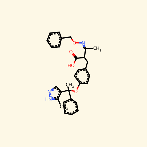 CC(=NOCc1ccccc1)C(Cc1ccc(OC(C)(c2ccccc2)c2cn[nH]c2C)cc1)C(=O)O